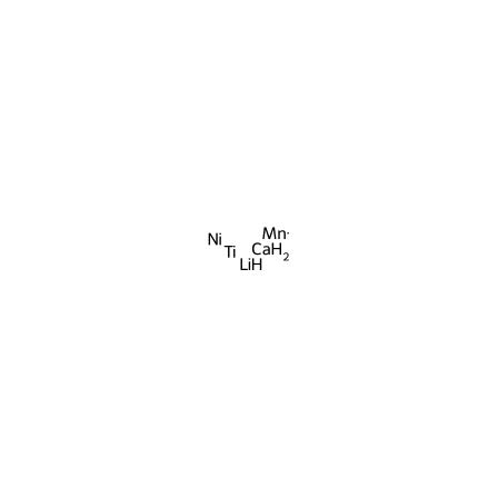 [CaH2].[LiH].[Mn].[Ni].[Ti]